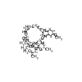 CCC[C@@H]1[C@@H]2CN(C(=O)[C@H](C(C)(C)C)NC(=O)O[C@@H]3C[C@H]3CCCCCc3nc4ccc(OC)cc4nc3O2)[C@@H]1C(=O)OCC(C)C